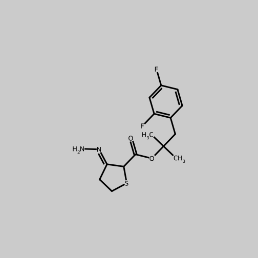 CC(C)(Cc1ccc(F)cc1F)OC(=O)C1SCCC1=NN